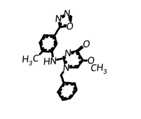 COc1cn(Cc2ccccc2)c(Nc2cc(-c3nnco3)ccc2C)nc1=O